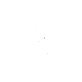 CN1CCC(C(=O)Nc2ccc([N+](=O)[O-])c(Cl)c2)CC1